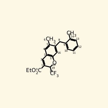 CCOC(=O)C1=Cc2cc(C)c(Cc3ccccc3C)cc2OC1C(F)(F)F